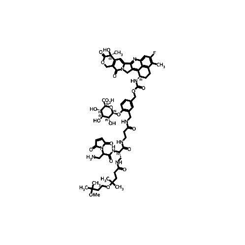 COC(C)(C)CCOC(C)(C)CCC(=O)NC[C@H](NC(=O)C(CN)N1C(=O)C=CC1=O)C(=O)NCCC(=O)NCc1cc(COC(=O)N[C@H]2CCc3c(C)c(F)cc4nc5c(c2c34)Cn2c-5cc3c(c2=O)COC(=O)[C@@]3(C)O)ccc1O[C@@H]1O[C@H](C(=O)O)[C@@H](O)[C@H](O)[C@H]1O